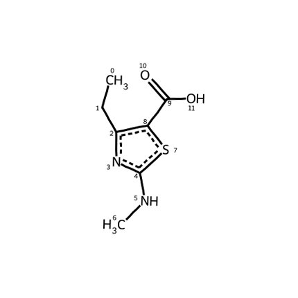 CCc1nc(NC)sc1C(=O)O